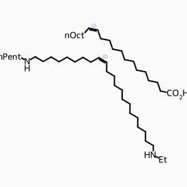 CCCCCCCC/C=C\CCCCCCCCCCCC(=O)O.CCCCCNCCCCCCCC/C=C\CCCCCCCCCCCCNCC